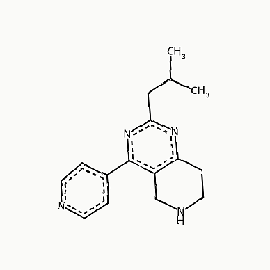 CC(C)Cc1nc2c(c(-c3ccncc3)n1)CNCC2